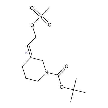 CC(C)(C)OC(=O)N1CCC/C(=C/COS(C)(=O)=O)C1